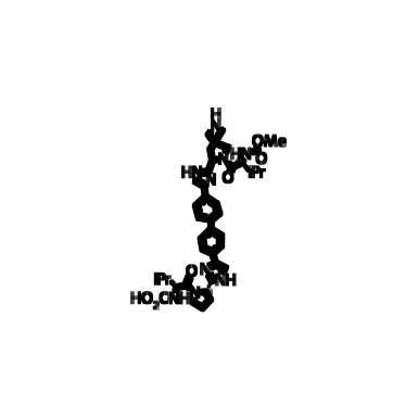 COC(=O)N[C@H](C(=O)N1CC2(CNC2)CC1c1nc(-c2ccc(-c3ccc(-c4c[nH]c([C@@H]5CCCN5C(=O)[C@@H](NC(=O)O)C(C)C)n4)cc3)cc2)c[nH]1)C(C)C